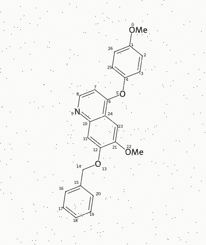 COc1c[c]c(Oc2ccnc3cc(OCc4ccccc4)c(OC)cc23)cc1